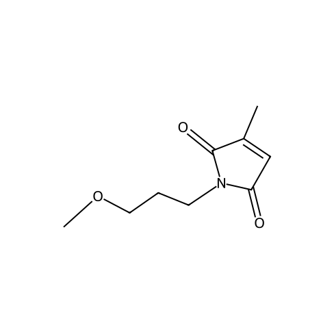 COCCCN1C(=O)C=C(C)C1=O